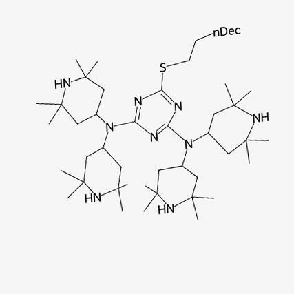 CCCCCCCCCCCCSc1nc(N(C2CC(C)(C)NC(C)(C)C2)C2CC(C)(C)NC(C)(C)C2)nc(N(C2CC(C)(C)NC(C)(C)C2)C2CC(C)(C)NC(C)(C)C2)n1